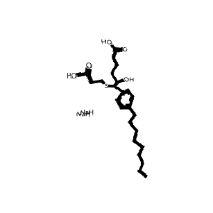 CCCCCCCCCc1ccc(C(SCCC(=O)O)C(O)CCCC(=O)O)cc1.[NaH].[NaH]